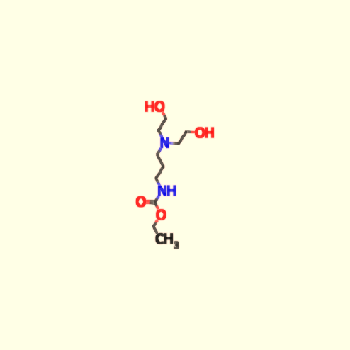 CCOC(=O)NCCCN(CCO)CCO